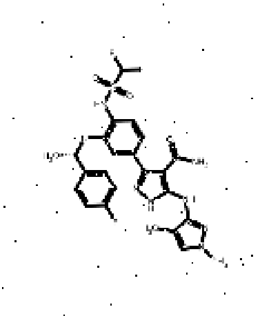 Cc1cn(C)nc1Nc1[nH]nc(-c2ccc(NS(=O)(=O)C(F)F)c(O[C@@H](C)c3ccc(F)cc3)c2)c1C(N)=O